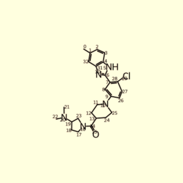 Cc1ccc2[nH]c(-c3cc(N4CCC(C(=O)N5CCC(N(C)C)C5)CC4)ccc3Cl)nc2c1